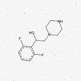 OC(CN1CCNCC1)c1c(F)cccc1F